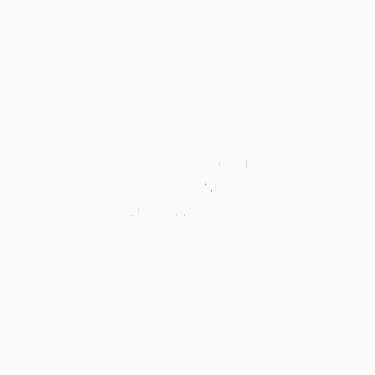 CCCC(CC)S(=O)(=O)NC(=O)O